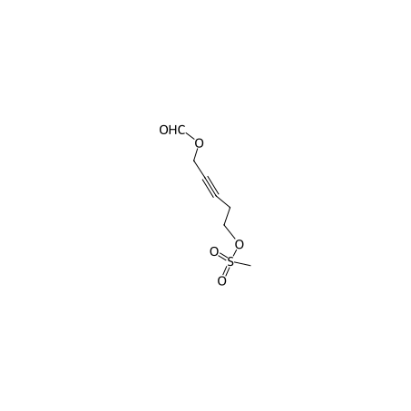 CS(=O)(=O)OCCC#CCOC=O